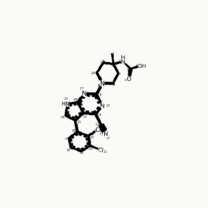 CC1(NC(=O)O)CCN(c2nc(C#N)c3c(-c4cccc(Cl)c4Cl)c[nH]c3n2)CC1